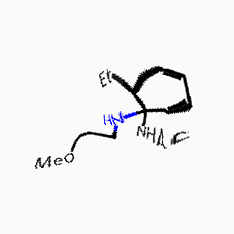 CCC1C=CC=CC1(NCCOC)NC(C)=O